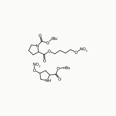 CC(C)(C)OC(=O)N1CCCC1C(=O)OCCCCO[N+](=O)[O-].CCCCOC(=O)C1CC(O[N+](=O)[O-])CN1